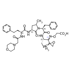 CC(C)C[C@H](NC(=O)[C@H](Cc1ccccc1)N1C(=O)[C@@H](NC(=O)[C@H](CCc2ccccc2)NC(=O)CN2CCOCC2)CC1C)/C(=N/OCC(=O)O)[C@@]1(C)CO1